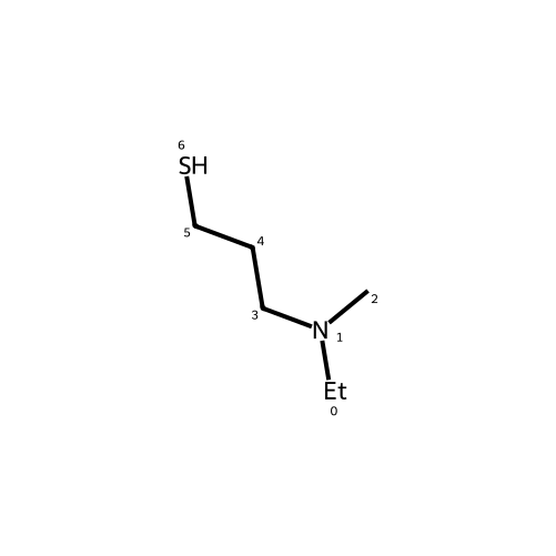 CCN(C)CCCS